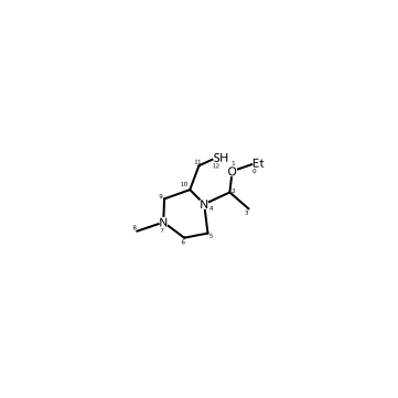 CCOC(C)N1CCN(C)CC1CS